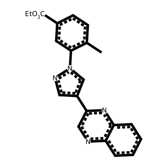 CCOC(=O)c1ccc(C)c(-n2cc(-c3cnc4ccccc4n3)cn2)c1